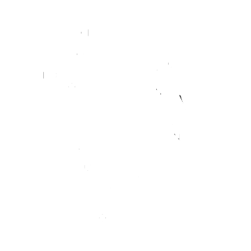 COc1cc(CCN2CCC[C@H](CN3CCc4cc(OC)c(OC)cc4CC3=O)C2)ccc1CO